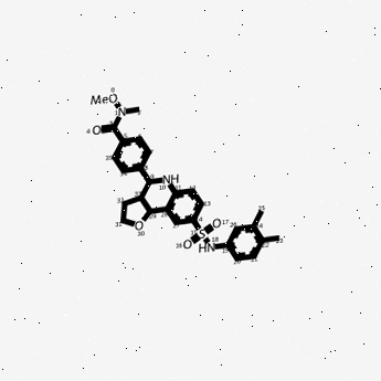 CON(C)C(=O)c1ccc(C2Nc3ccc(S(=O)(=O)Nc4ccc(C)c(C)c4)cc3C3OCCC23)cc1